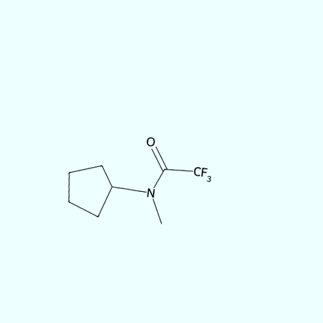 CN(C(=O)C(F)(F)F)C1CCCC1